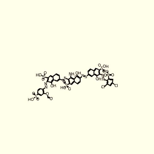 Nc1c(N=Nc2ccc3cc(S(=O)(=O)O)c(N=Nc4ccc(S(=O)(=O)O)cc4OC=O)c(O)c3c2)c(S(=O)(=O)O)cc2ccc(N=Nc3ccc4cc(S(=O)(=O)O)c(N=Nc5c(Cl)cc(Cl)cc5S(=O)(=O)O)c(O)c4c3)c(O)c12